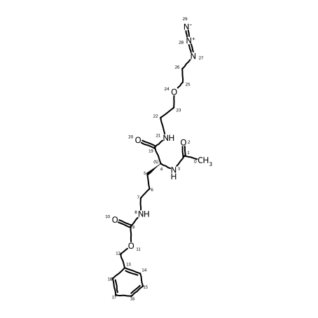 CC(=O)N[C@@H](CCCNC(=O)OCc1ccccc1)C(=O)NCCOCCN=[N+]=[N-]